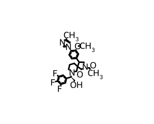 COc1cc(C2CN(C(C)=O)CC23CCCN([C@@H](CO)c2cc(F)c(F)c(F)c2)C3=O)ccc1-n1cnc(C)c1